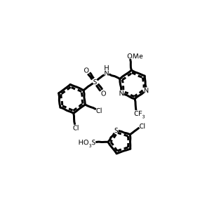 COc1cnc(C(F)(F)F)nc1NS(=O)(=O)c1cccc(Cl)c1Cl.O=S(=O)(O)c1ccc(Cl)s1